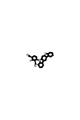 N#Cc1ccc(-n2c3ccccc3c3cc4c(cc32)sc2ccccc24)c(C#N)c1F